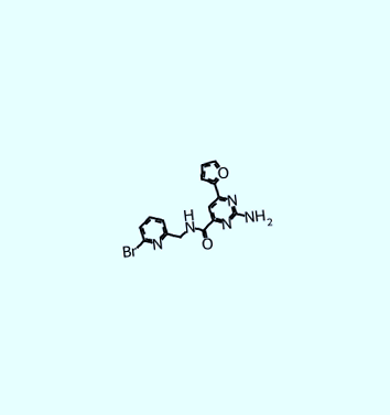 Nc1nc(C(=O)NCc2cccc(Br)n2)cc(-c2ccco2)n1